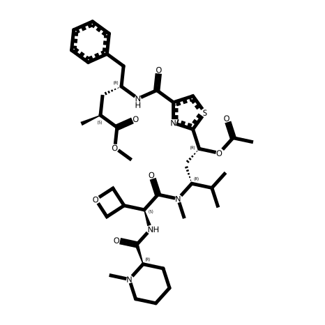 COC(=O)[C@@H](C)C[C@H](Cc1ccccc1)NC(=O)c1csc([C@@H](C[C@H](C(C)C)N(C)C(=O)[C@@H](NC(=O)[C@H]2CCCCN2C)C2COC2)OC(C)=O)n1